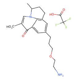 CC1CCc2cc(CCCOCCN)cc3c(=O)c(C(=O)O)cn1c23.O=C(O)C(F)(F)F